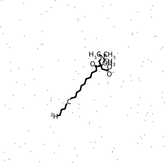 [2H]CCCCCCCCCCCCCCCC(=O)[C@@](O)(CC(=O)[O-])C[N+](C)(C)C